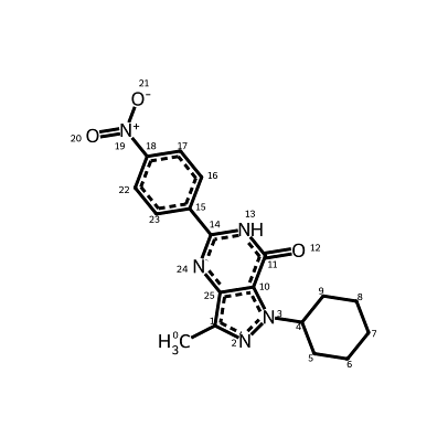 Cc1nn(C2CCCCC2)c2c(=O)[nH]c(-c3ccc([N+](=O)[O-])cc3)nc12